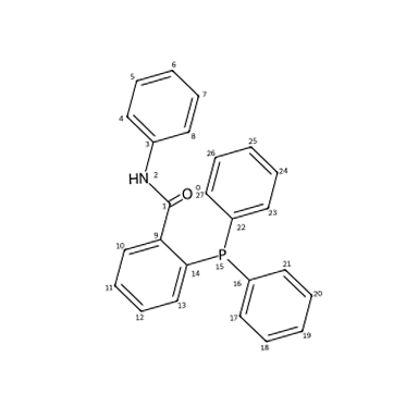 O=C(Nc1ccccc1)c1ccccc1P(c1ccccc1)c1ccccc1